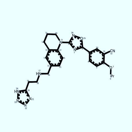 CC(C)Oc1ccc(-c2nc(N3CCCc4cc(CNCCc5nnn[nH]5)ccc43)no2)cc1C#N